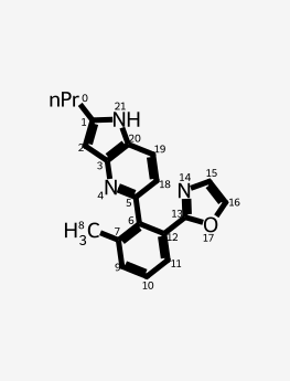 CCCc1cc2nc(-c3c(C)cccc3-c3ncco3)ccc2[nH]1